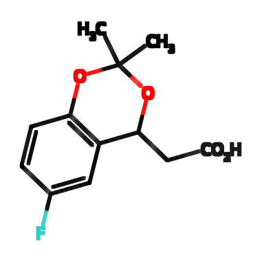 CC1(C)Oc2ccc(F)cc2C(CC(=O)O)O1